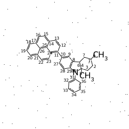 CC1CCC2(C)C(C1)c1cc(-c3ccc4ccc5cccc6ccc3c4c56)ccc1N2c1ccccc1